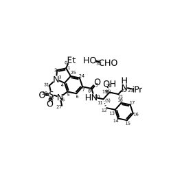 CCc1cn2c3c(cc(C(=O)N[C@@H](Cc4ccccc4)[C@H](O)CNC(C)C)cc13)N(C)S(=O)(=O)C2.O=CO